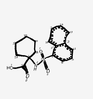 O=C(O)C1(NS(=O)(=O)c2cccc3ccccc23)CCCCC1